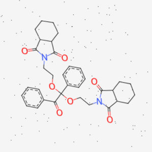 O=C1C2CCCCC2C(=O)N1CCOC(OCCN1C(=O)C2CCCCC2C1=O)(C(=O)c1ccccc1)c1ccccc1